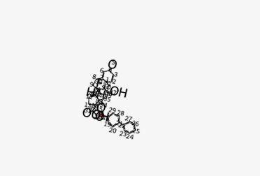 C[C@]12C=CC(=O)C=C1CC[C@H]1[C@@H]3CC[C@@](OC(=O)c4ccc(-c5ccccc5)cc4)(C(=O)O)[C@@]3(C)C[C@H](O)C12F